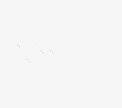 CN(c1ccc(-c2cc(F)c(-c3ccoc(=O)c3)cc2O)nn1)[C@@H]1CC2CCC(N2)[C@@H]1F